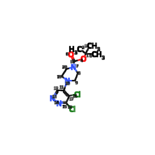 CC(C)(C)OC(=O)N1CCN(c2cnnc(Cl)c2Cl)CC1